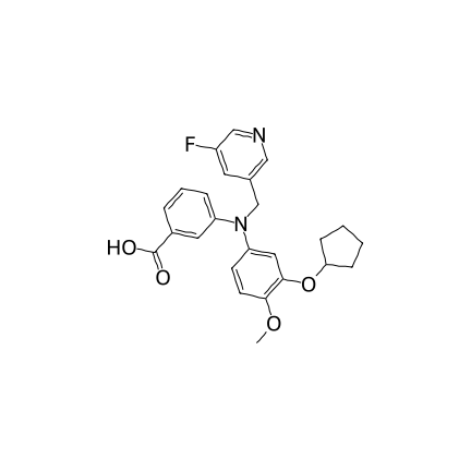 COc1ccc(N(Cc2cncc(F)c2)c2cccc(C(=O)O)c2)cc1OC1CCCC1